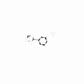 COc1cc(F)cc(-c2nnco2)c1